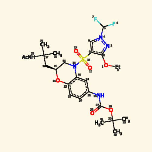 CCOc1nn(C(F)F)cc1S(=O)(=O)N1C[C@H](CC(C)(C)NC(C)=O)Oc2ccc(NC(=O)OC(C)(C)C(F)(F)F)cc21